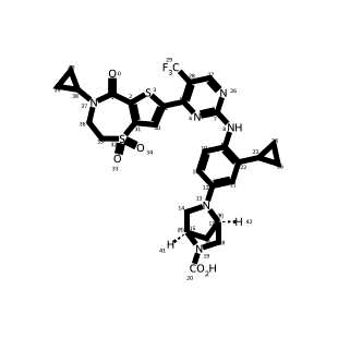 O=C1c2sc(-c3nc(Nc4ccc(N5C[C@H]6C[C@@H]5CN6C(=O)O)cc4C4CC4)ncc3C(F)(F)F)cc2S(=O)(=O)CCN1C1CC1